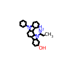 C/C=C(\N)n1c2cc(O)ccc2c2ccc3c(c4ccccc4n3-c3ccccc3)c21